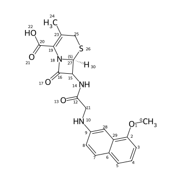 COc1cccc2ccc(NCC(=O)NC3C(=O)N4C(C(=O)O)=C(C)CS[C@@H]34)cc12